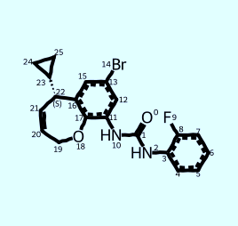 O=C(Nc1ccccc1F)Nc1cc(Br)cc2c1OCC=C[C@@H]2C1CC1